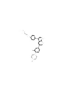 Cc1cc(-c2cnc3[nH]cc(-c4ccc(OCCN)cc4)c3c2)ccc1N1CCN(C)CC1